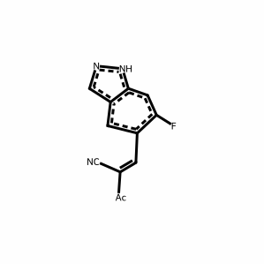 CC(=O)C(C#N)=Cc1cc2cn[nH]c2cc1F